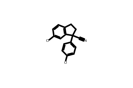 N#CC1(c2ccc(Cl)cc2)CCc2ccc(Cl)cc21